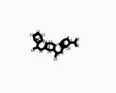 CC(C)C1CC2C=C(CC(C)C3CC4C=C(CC(C)C5CC6C=CC5S6)C3O4)C1C2